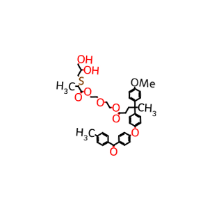 COc1ccc(C(C)(CCC(=O)OCCOCCOC(=O)C(C)SCC(O)CO)c2ccc(Oc3ccc(C(=O)c4ccc(C)cc4)cc3)cc2)cc1